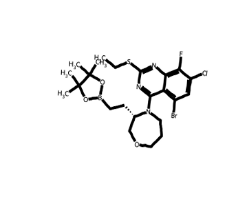 CCSc1nc(N2CCCOC[C@@H]2CCB2OC(C)(C)C(C)(C)O2)c2c(Br)cc(Cl)c(F)c2n1